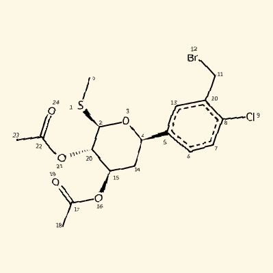 CS[C@H]1O[C@@H](c2ccc(Cl)c(CBr)c2)C[C@@H](OC(C)=O)[C@@H]1OC(C)=O